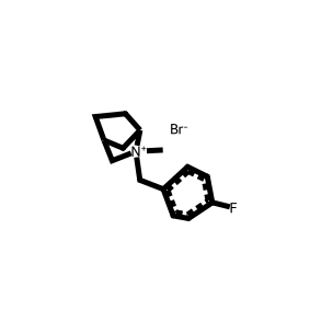 C[N+]1(Cc2ccc(F)cc2)CC2CCC1C2.[Br-]